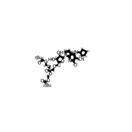 CC(C)(C)C(=O)OCOP(=O)(COC[C@H]1O[C@@H](n2ccc3c(NC4CCCC4)c(C#N)c(Cl)nc32)[C@H](O)[C@@H]1O)OCOC(=O)C(C)(C)C